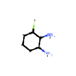 NC1CCCC(F)C1N